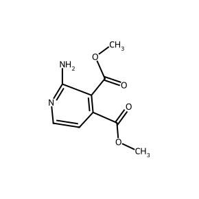 COC(=O)c1ccnc(N)c1C(=O)OC